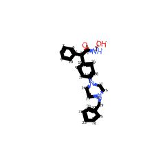 O=C(NO)C(c1ccccc1)c1ccc(N2CCN(Cc3ccccc3)CC2)cc1